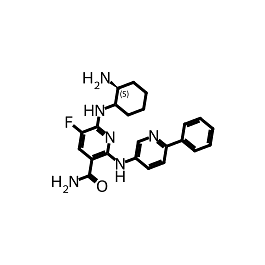 NC(=O)c1cc(F)c(NC2CCCC[C@@H]2N)nc1Nc1ccc(-c2ccccc2)nc1